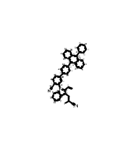 C=Cc1c(/C=C(\C)C#N)c2ccccc2n1-c1cc(-c2ccc(-c3c4ccccc4c(-c4ccccc4)c4ccccc34)cc2)ccc1C#N